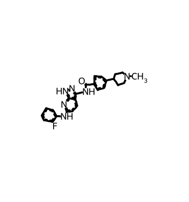 CN1CCC(c2ccc(C(=O)Nc3n[nH]c4nc(Nc5ccccc5F)ccc34)cc2)CC1